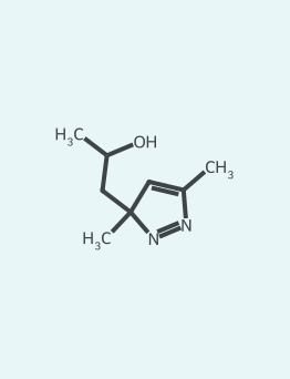 CC1=CC(C)(CC(C)O)N=N1